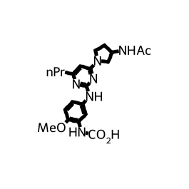 CCCc1cc(N2CCC(NC(C)=O)C2)nc(Nc2ccc(OC)c(NC(=O)O)c2)n1